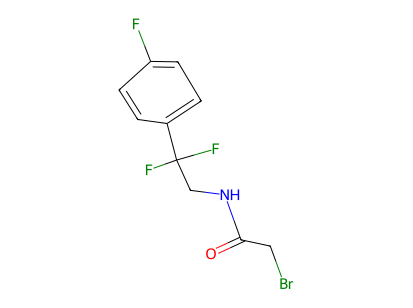 O=C(CBr)NCC(F)(F)c1ccc(F)cc1